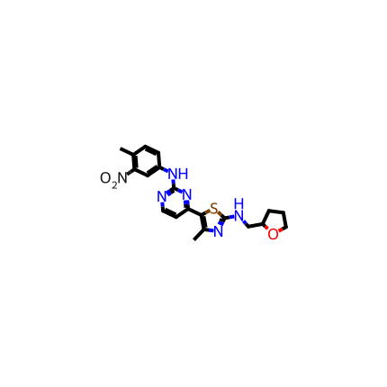 Cc1ccc(Nc2nccc(-c3sc(NCC4CCCO4)nc3C)n2)cc1[N+](=O)[O-]